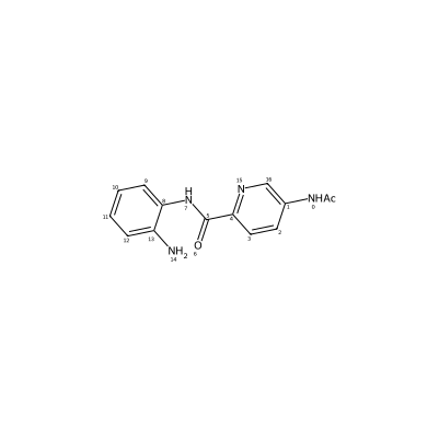 CC(=O)Nc1ccc(C(=O)Nc2ccccc2N)nc1